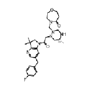 C[C@@H]1CN(CC(=O)N2CC(C)(C)c3ncc(Cc4ccc(F)cc4)cc32)[C@@H](CN2CCOCCC2=O)CN1